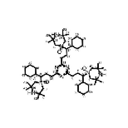 CC1(C)C[N+]([O-])(C(CCc2nc(CCC(C3CCCCC3)[N+]3([O-])CC(C)(C)NC(C)(C)C3)nc(CCC(C3CCCCC3)[N+]3([O-])CC(C)(C)NC(C)(C)C3)n2)C2CCCCC2)CC(C)(C)N1